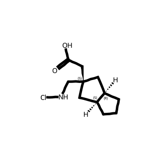 O=C(O)C[C@@]1(CNCl)C[C@H]2CCC[C@H]2C1